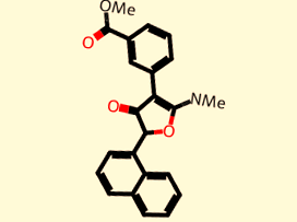 CNC1=C(c2cccc(C(=O)OC)c2)C(=O)C(c2cccc3ccccc23)O1